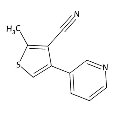 Cc1scc(-c2cccnc2)c1C#N